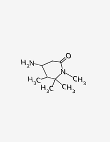 CC1C(N)CC(=O)N(C)C1(C)C